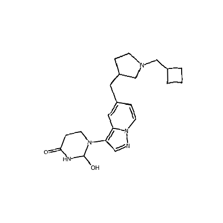 O=C1CCN(c2cnn3ccc(CC4CCN(CC5CCC5)C4)cc23)C(O)N1